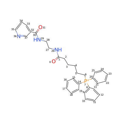 O=C(CCCCC[P+](c1ccccc1)(c1ccccc1)c1ccccc1)NCCNC(=O)c1cccnc1